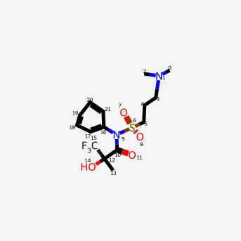 CN(C)CCCS(=O)(=O)N(C(=O)C(C)(O)C(F)(F)F)c1ccccc1